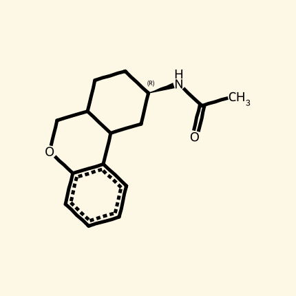 CC(=O)N[C@@H]1CCC2COc3ccccc3C2C1